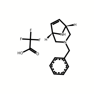 C1=C[C@H]2CN(Cc3ccccc3)C[C@@H]1N2.O=C(O)C(F)(F)F